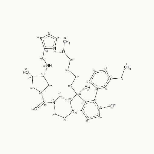 CCc1cccc(-c2c(Cl)cccc2[C@](O)(CCCCOC)[C@H]2CN(C(=O)[C@@H]3C[C@H](O)[C@H](NCc4nccs4)C3)CCO2)c1